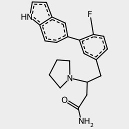 NC(=O)CC(Cc1ccc(F)c(-c2ccc3[nH]ccc3c2)c1)N1CCCC1